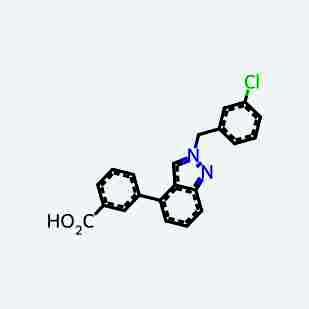 O=C(O)c1cccc(-c2cccc3nn(Cc4cccc(Cl)c4)cc23)c1